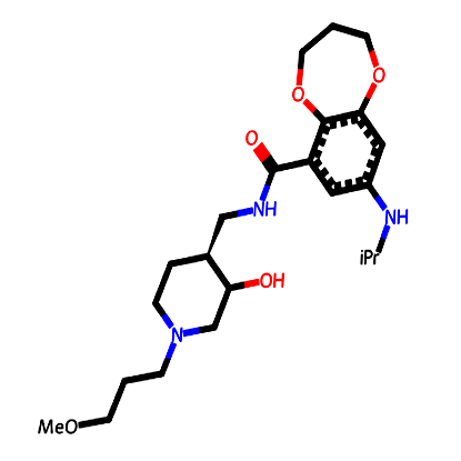 COCCCN1CC[C@@H](CNC(=O)c2cc(NC(C)C)cc3c2OCCCO3)C(O)C1